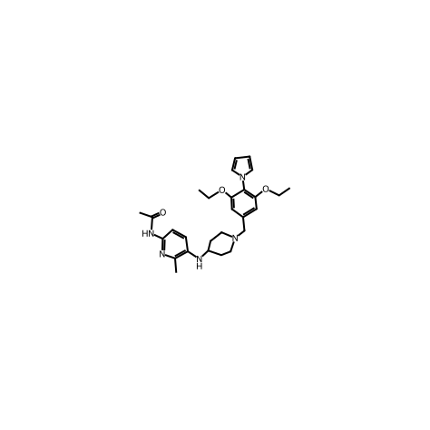 CCOc1cc(CN2CCC(Nc3ccc(NC(C)=O)nc3C)CC2)cc(OCC)c1-n1cccc1